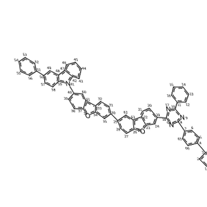 c1ccc(-c2ccc(-c3nc(-c4ccccc4)nc(-c4ccc5c(c4)oc4ccc(-c6ccc7c(c6)oc6ccc(-n8c9ccccc9c9cc(-c%10ccccc%10)ccc98)cc67)cc45)n3)cc2)cc1